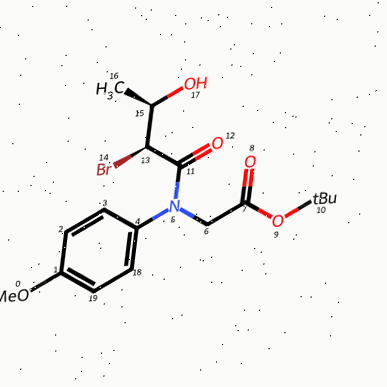 COc1ccc(N(CC(=O)OC(C)(C)C)C(=O)[C@@H](Br)[C@@H](C)O)cc1